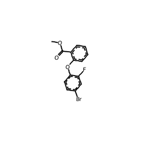 COC(=O)c1ccccc1Oc1ccc(Br)cc1F